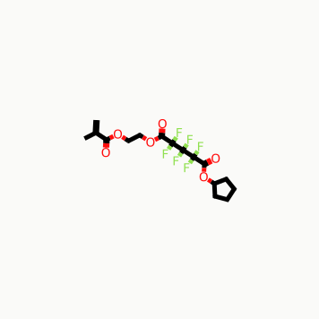 C=C(C)C(=O)OCCOC(=O)C(F)(F)C(F)(F)C(F)(F)C(=O)OC1CCCC1